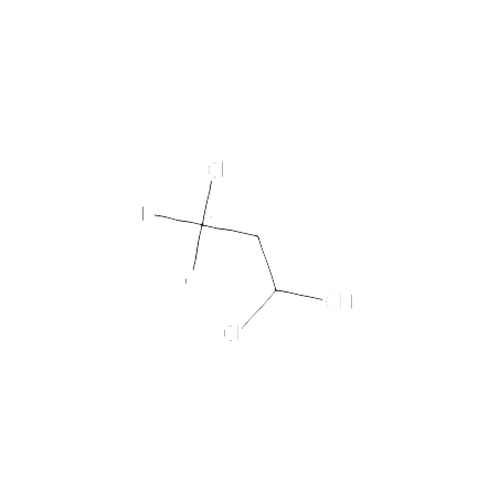 CC(Cl)CC(F)(Cl)Cl